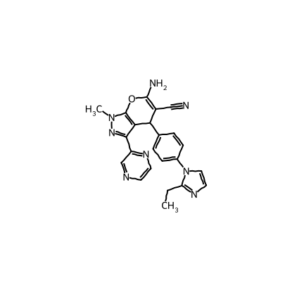 CCc1nccn1-c1ccc(C2C(C#N)=C(N)Oc3c2c(-c2cnccn2)nn3C)cc1